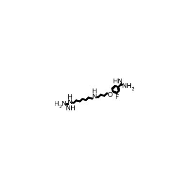 N=C(N)NCCCCCCCNCCCCOc1ccc(C(=N)N)cc1F